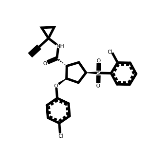 C#CC1(NC(=O)[C@@H]2C[C@@H](S(=O)(=O)c3ccccc3Cl)C[C@H]2Oc2ccc(Cl)cc2)CC1